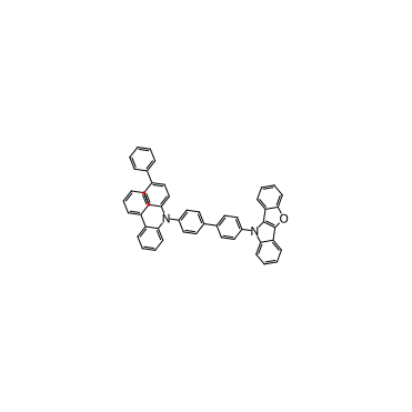 c1ccc(-c2ccc(N(c3ccc(-c4ccc(-n5c6ccccc6c6oc7ccccc7c65)cc4)cc3)c3ccccc3-c3ccccc3)cc2)cc1